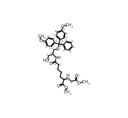 COC(=O)CNC(CCCCC(=O)NC(CO)COC(c1ccccc1)(c1ccc(OC)cc1)c1ccc(OC)cc1)C(=O)OC